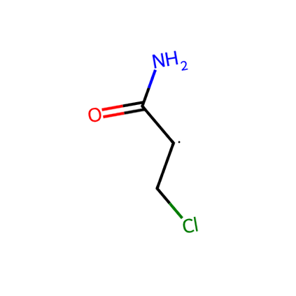 NC(=O)[CH]CCl